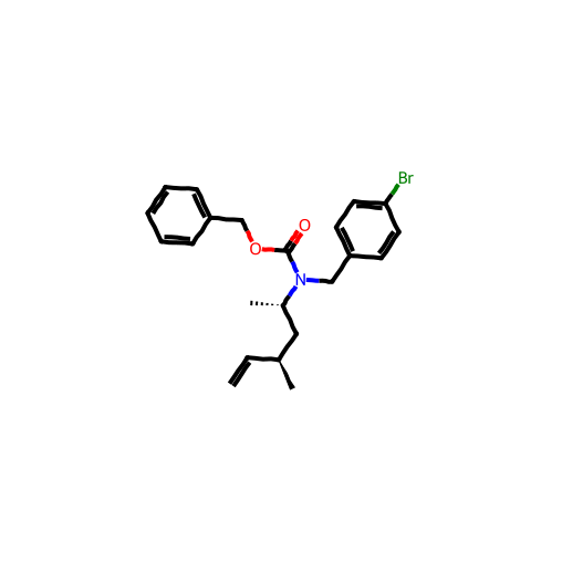 C=C[C@H](C)C[C@H](C)N(Cc1ccc(Br)cc1)C(=O)OCc1ccccc1